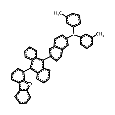 Cc1cccc(N(c2cccc(C)c2)c2ccc3cc(-c4c5ccccc5c(-c5cccc6c5oc5ccccc56)c5ccccc45)ccc3c2)c1